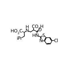 CC(C)C[C@H](NCC(C(=O)O)C(=O)Nc1nc2ccc(Cl)cc2s1)C(=O)O